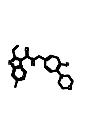 CCc1nc2cc(C)ccn2c1C(=O)NCC1=CCC(F)=C(N2CCOCC2)C=C1